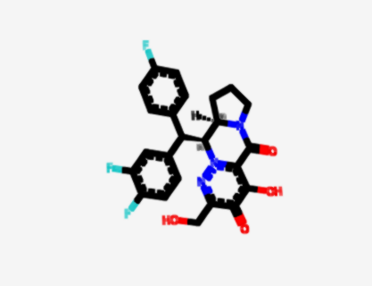 O=C1c2c(O)c(=O)c(CO)nn2[C@@H](C(c2ccc(F)cc2)c2ccc(F)c(F)c2)[C@H]2CCCN12